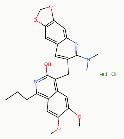 CCCc1nc(O)c(Cc2cc3cc4c(cc3nc2N(C)C)OCO4)c2cc(OC)c(OC)cc12.Cl.Cl